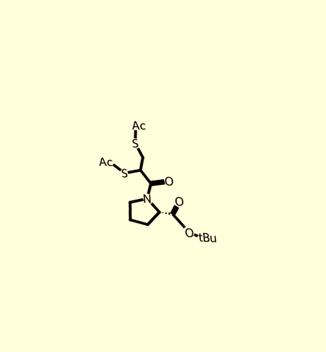 CC(=O)SCC(SC(C)=O)C(=O)N1CCC[C@H]1C(=O)OC(C)(C)C